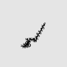 CCCCCCCCCCCCN(C)CCCN(C)COC(=O)C(C)(C)CC